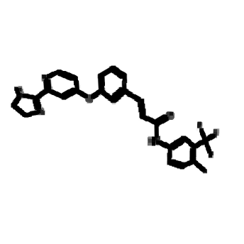 Cc1ccc(NC(=O)C=Cc2cccc(Oc3ccnc(C4=NCCN4)c3)c2)cc1C(F)(F)F